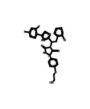 O=C1N[C@H](c2ccc(OCCO)cc2)C(=O)N1C(Cc1ccccc1Cl)c1ncc(-c2ccc(I)cc2F)[nH]1